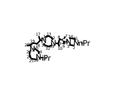 CCCN1CCN(S(C)(C)CC(C)N2CCCN(C(C)CCC(C)N3CCCCN(C(C)C)CC3)CCC2)CC1